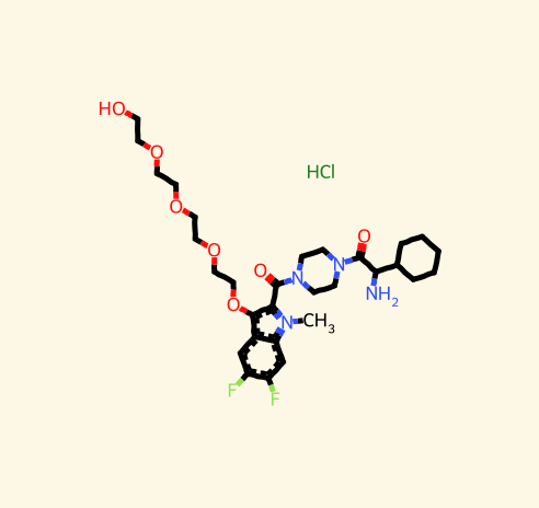 Cl.Cn1c(C(=O)N2CCN(C(=O)C(N)C3CCCCC3)CC2)c(OCCOCCOCCOCCO)c2cc(F)c(F)cc21